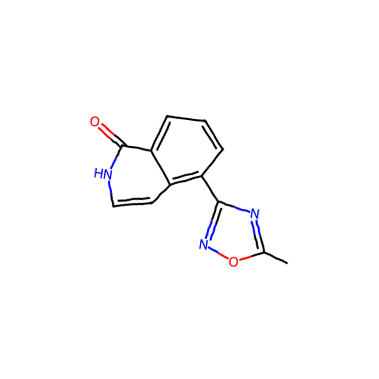 Cc1nc(-c2cccc3c(=O)[nH]ccc23)no1